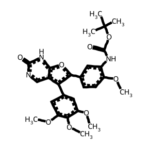 COc1ccc(-c2oc3[nH]c(=O)ncc3c2-c2cc(OC)c(OC)c(OC)c2)cc1NC(=O)OC(C)(C)C